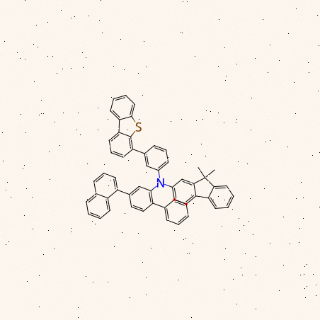 CC1(C)c2ccccc2-c2ccc(N(c3cccc(-c4cccc5c4sc4ccccc45)c3)c3cc(-c4cccc5ccccc45)ccc3-c3ccccc3)cc21